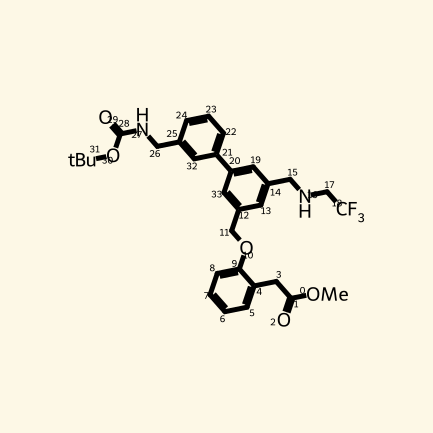 COC(=O)Cc1ccccc1OCc1cc(CNCC(F)(F)F)cc(-c2cccc(CNC(=O)OC(C)(C)C)c2)c1